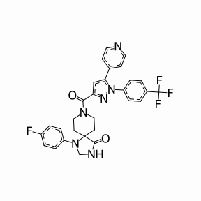 O=C(c1cc(-c2ccncc2)n(-c2ccc(C(F)(F)F)cc2)n1)N1CCC2(CC1)C(=O)NCN2c1ccc(F)cc1